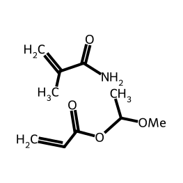 C=C(C)C(N)=O.C=CC(=O)OC(C)OC